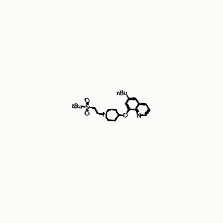 CCCCc1cc(OC2CCN(CCS(=O)(=O)C(C)(C)C)CC2)c2ncccc2c1